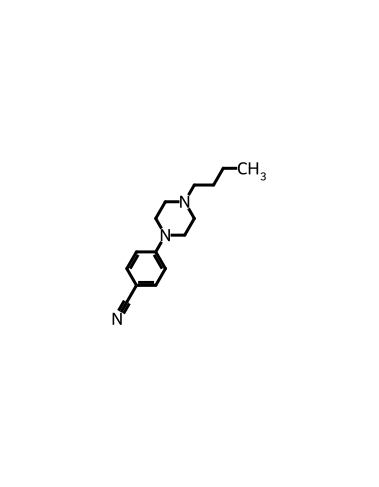 CCCCN1CCN(c2ccc(C#N)cc2)CC1